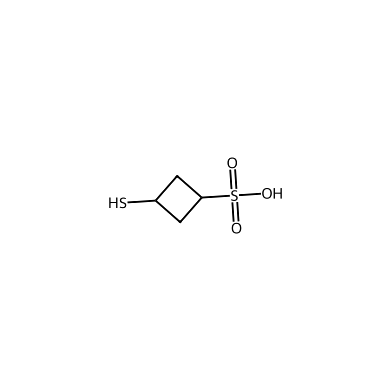 O=S(=O)(O)C1CC(S)C1